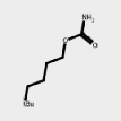 CC(C)(C)CCCCOC(N)=O